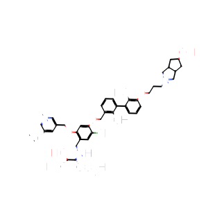 Cc1c(COc2cc(OCc3cncc(C#N)c3)c(CN[C@H](C(=O)O)C(C)O)cc2Cl)cccc1-c1cccc(OCCCN2CC3CC(O)CC3C2)c1C